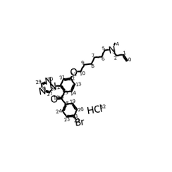 C=CCN(C)CCCCCCOc1ccc(C(=O)c2ccc(Br)cc2)c(-n2cncn2)c1.Cl